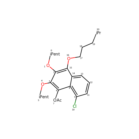 CCCC(C)Oc1c(OC(C)CCC)c(OC(C)=O)c2c(Cl)cccc2c1OCCCC(C)C